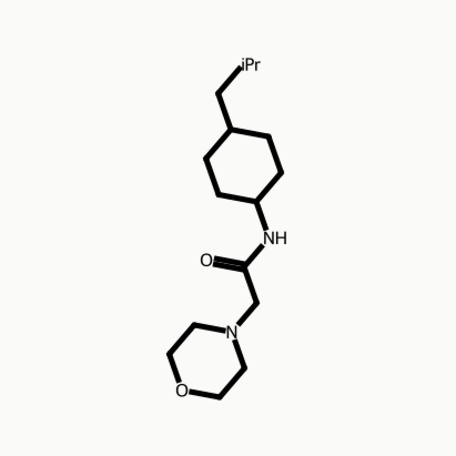 CC(C)CC1CCC(NC(=O)CN2CCOCC2)CC1